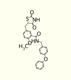 COc1ccc(CC2SC(=O)NC2=O)cc1C(=O)NCc1ccc(Oc2ccccc2)cc1